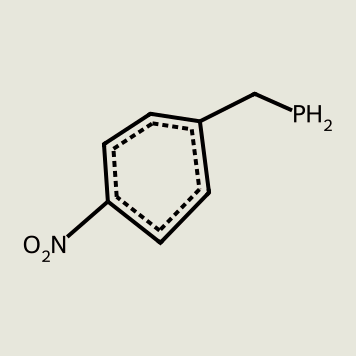 O=[N+]([O-])c1ccc(CP)cc1